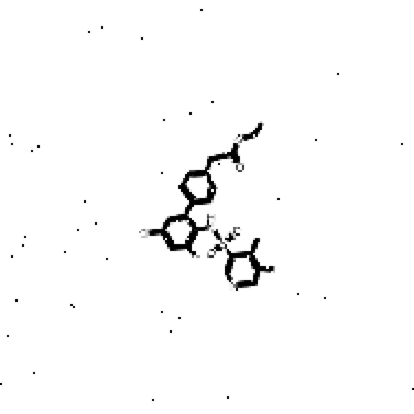 CCOC(=O)Cc1ccc(-c2cc(Cl)cc(F)c2NS(=O)(=O)c2cncc(C)c2C)cc1